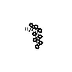 CC1(C)c2ccccc2-c2ccc3c(oc4c(N5c6ccccc6B6c7ccccc7N(c7cccc8c7oc7ccccc78)c7cccc5c76)cccc43)c21